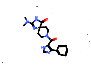 CN(C)C1=NC2(CCN(C(=O)c3[nH]cnc3-c3ccccc3)CC2)C(=O)N1